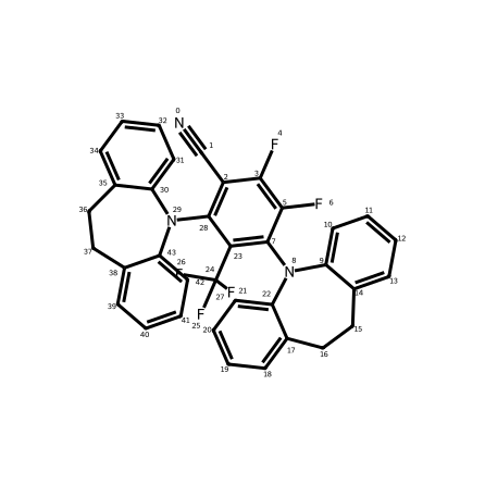 N#Cc1c(F)c(F)c(N2c3ccccc3CCc3ccccc32)c(C(F)(F)F)c1N1c2ccccc2CCc2ccccc21